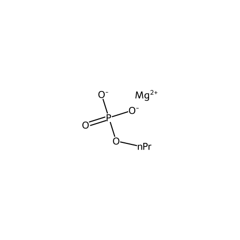 CCCOP(=O)([O-])[O-].[Mg+2]